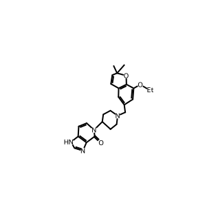 CCOc1cc(CN2CCC(n3ccc4[nH]cnc4c3=O)CC2)cc2c1OC(C)(C)C=C2